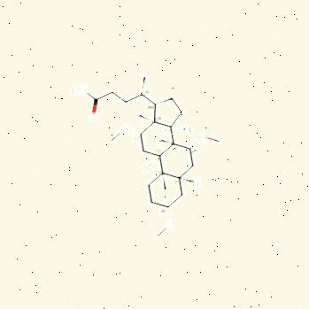 CO[C@@H]1CC[C@@]2(C)[C@@H](C1)C[C@@H](OC)[C@@H]1[C@@H]2C[C@H](OC)[C@]2(C)[C@@H]([C@H](C)CCC(=O)O)CC[C@@H]12